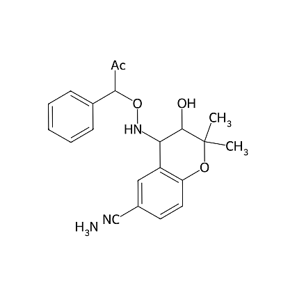 CC(=O)C(ONC1c2cc(C#N)ccc2OC(C)(C)C1O)c1ccccc1.N